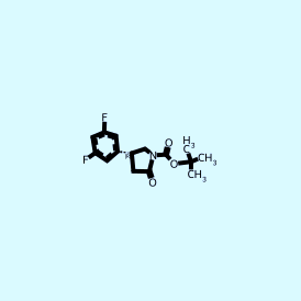 CC(C)(C)OC(=O)N1C[C@@H](c2cc(F)cc(F)c2)CC1=O